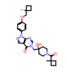 CC1(C(=O)N2CCC(O)(Cn3cnc4c(cnn4-c4ccc(OCC5(F)CCC5)cc4)c3=O)CC2)CCC1